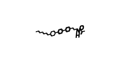 C=C(C)C(=O)NCCCc1ccc(-c2ccc(C3CCC(CCCCCCC)CC3)cc2)cc1